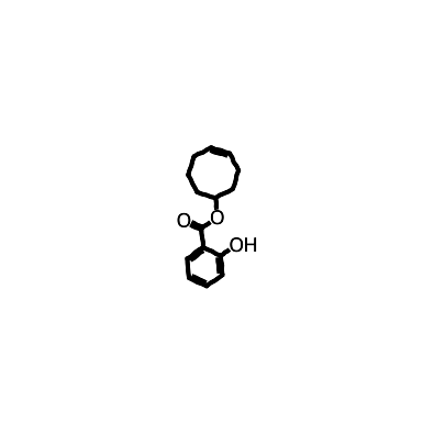 O=C(OC1CCC=CCCC1)c1ccccc1O